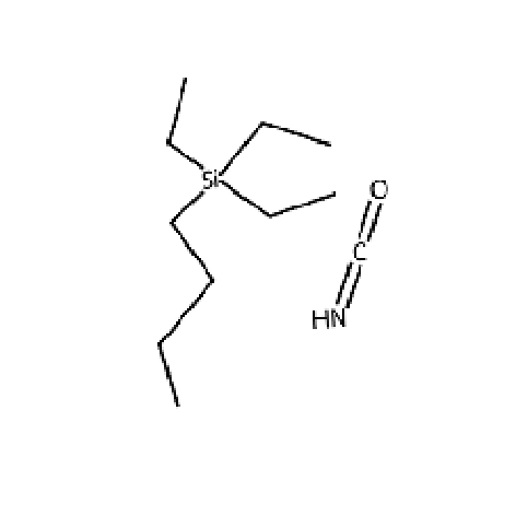 CCCC[Si](CC)(CC)CC.N=C=O